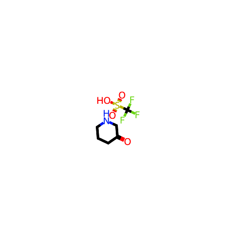 O=C1CCCNC1.O=S(=O)(O)C(F)(F)F